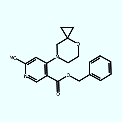 N#Cc1cc(N2CCOC3(CC3)C2)c(C(=O)OCc2ccccc2)cn1